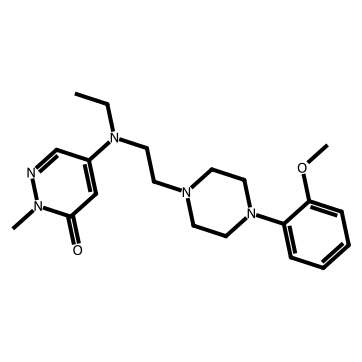 CCN(CCN1CCN(c2ccccc2OC)CC1)c1cnn(C)c(=O)c1